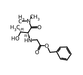 C[C@@H](O)[C@H](NCC(=O)OCc1ccccc1)C(=O)N(C)C